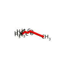 CCCCCCCCCCCCCCCCCC(=O)OCCC(C)CCC[C@H](C)CCC[C@H](C)CCCC(C)C